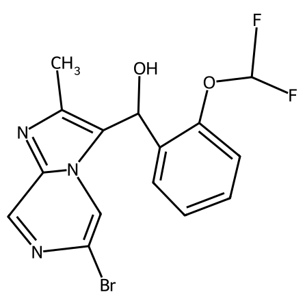 Cc1nc2cnc(Br)cn2c1C(O)c1ccccc1OC(F)F